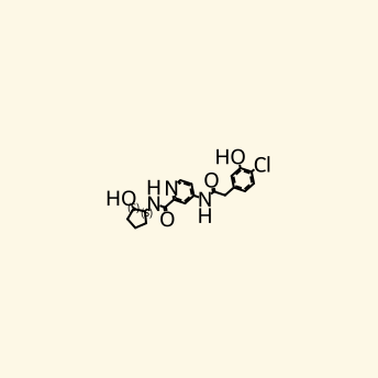 O=C(Cc1ccc(Cl)c(O)c1)Nc1ccnc(C(=O)N[C@H]2CCC[C@@H]2O)c1